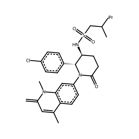 C=C1C=C(C)c2ccc(N3C(=O)CC[C@H](NS(=O)(=O)CC(C)C(C)C)[C@H]3c3ccc(Cl)cc3)cc2N1C